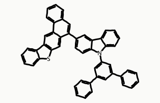 c1ccc(-c2cc(-c3ccccc3)cc(-n3c4ccccc4c4cc(-c5cc6ccccc6c6cc7c(cc56)sc5ccccc57)ccc43)c2)cc1